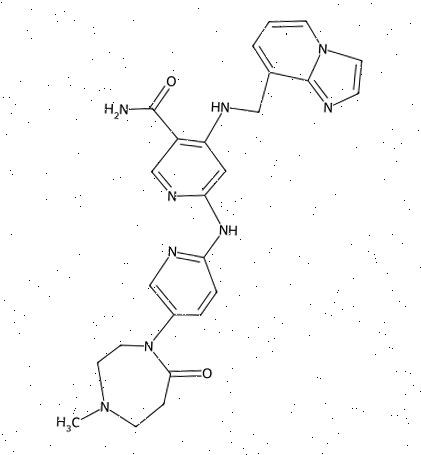 CN1CCC(=O)N(c2ccc(Nc3cc(NCc4cccn5ccnc45)c(C(N)=O)cn3)nc2)CC1